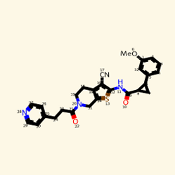 COc1cccc(C2CC2C(=O)Nc2sc3c(c2C#N)CCN(C(=O)CCc2ccncc2)C3)c1